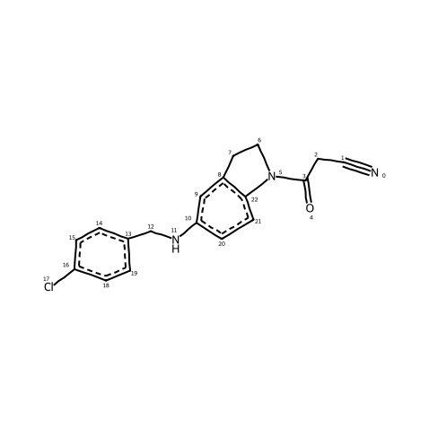 N#CCC(=O)N1CCc2cc(NCc3ccc(Cl)cc3)ccc21